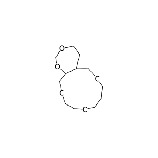 C1CCCCCC2OCOCCC2CCCC1